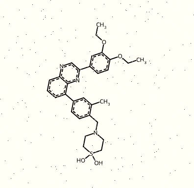 CCOc1ccc(-c2cnc3cccc(-c4ccc(CN5CCS(O)(O)CC5)c(C)c4)c3n2)cc1OCC